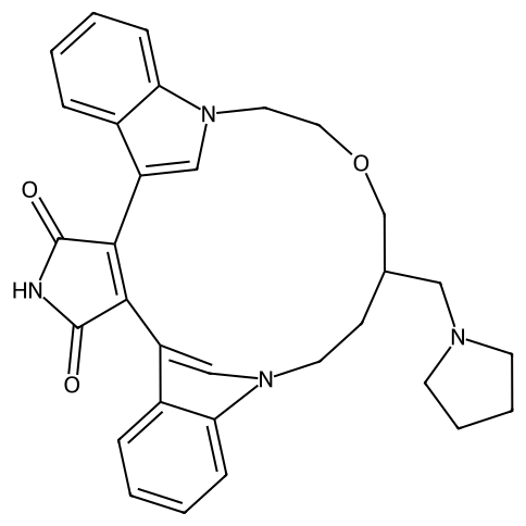 O=C1NC(=O)C2=C1c1cn(c3ccccc13)CCOCC(CN1CCCC1)CCn1cc2c2ccccc21